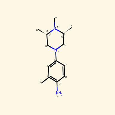 Cc1cc(N2C[C@@H](C)N(C)[C@@H](C)C2)ccc1N